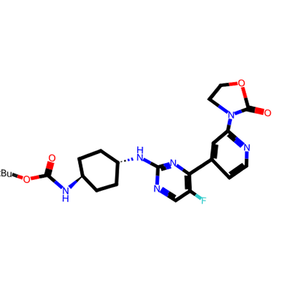 CC(C)(C)OC(=O)N[C@H]1CC[C@H](Nc2ncc(F)c(-c3ccnc(N4CCOC4=O)c3)n2)CC1